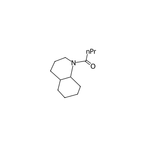 CCCC(=O)N1CCCC2CCCCC21